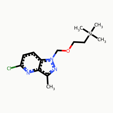 Cc1nn(COCC[Si](C)(C)C)c2ccc(Cl)nc12